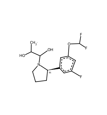 [CH2]C(O)C(O)N1CCC[C@@H]1c1cc(F)cc(OC(F)F)c1